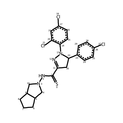 S=C(NN1CC2CCCC2C1)C1=NN(c2ccc(Cl)cc2Cl)C(c2ccc(Cl)cc2)C1